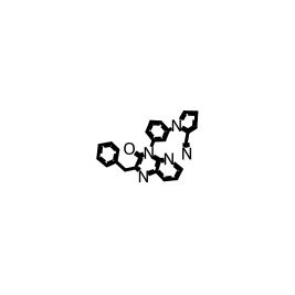 N#Cc1cccn1-c1cccc(-n2c(=O)c(Cc3ccccc3)nc3cccnc32)c1